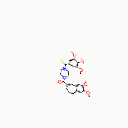 COc1cc2c(cc1OC)CCCC(C(=O)N1CCN(C(=S)c3cc(OC)c(OC)c(OC)c3)CC1)=C2